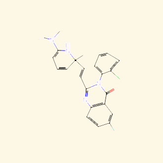 CCN(CC)C1=CC=CC(C)(C=Cc2nc3ccc(F)cc3c(=O)n2-c2ccccc2Cl)N1